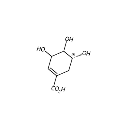 O=C(O)C1=CC(O)C(O)[C@H](O)C1